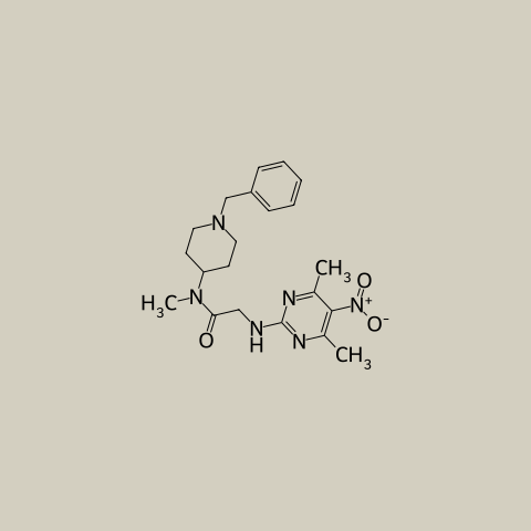 Cc1nc(NCC(=O)N(C)C2CCN(Cc3ccccc3)CC2)nc(C)c1[N+](=O)[O-]